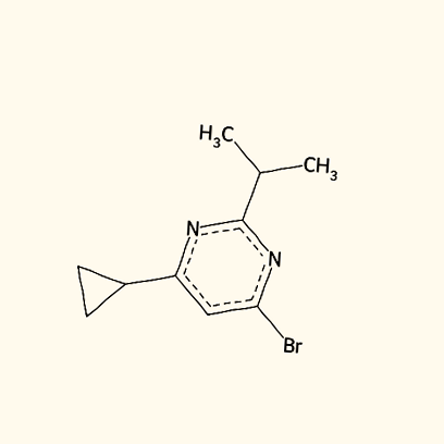 CC(C)c1nc(Br)cc(C2CC2)n1